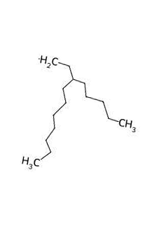 [CH2]CC(CCCCC)CCCCCCC